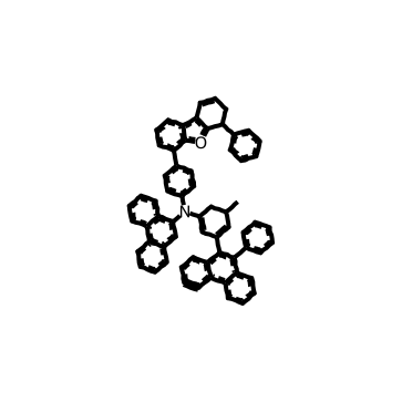 CC1C=C(c2c(-c3ccccc3)c3ccccc3c3c#cccc23)C=C(N(c2ccc(-c3cccc4c5c(oc34)C(c3ccccc3)CC=C5)cc2)c2cc3ccccc3c3ccccc23)C1